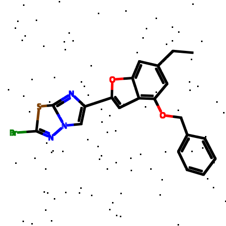 CCc1cc(OCc2ccccc2)c2cc(-c3cn4nc(Br)sc4n3)oc2c1